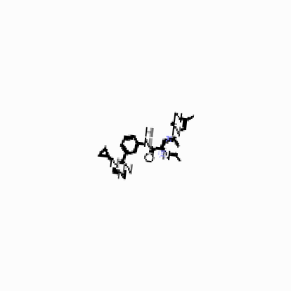 CC/N=C(\C=C(/C)n1cnc(C)c1)C(=O)Nc1cccc(-c2nncn2C2CC2)c1